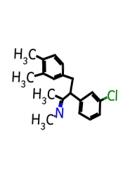 C/N=C(\C)C(Cc1ccc(C)c(C)c1)c1cccc(Cl)c1